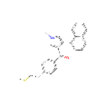 CSCCc1ccc(C(=O)c2cn(C)cc2-c2cccc3ccccc23)cc1